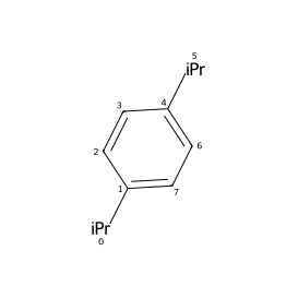 CC(C)c1ccc(C(C)C)cc1